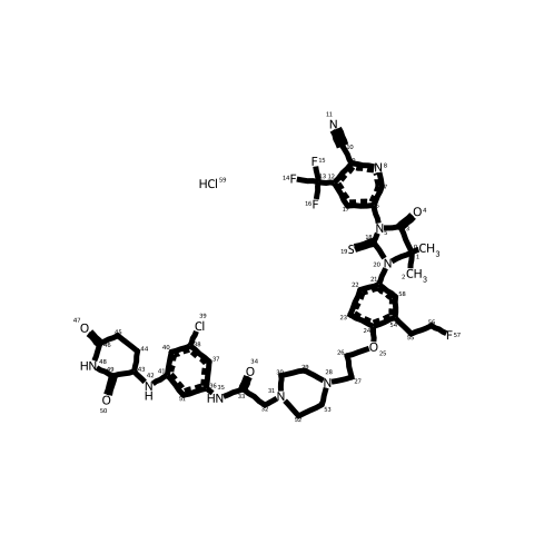 CC1(C)C(=O)N(c2cnc(C#N)c(C(F)(F)F)c2)C(=S)N1c1ccc(OCCN2CCN(CC(=O)Nc3cc(Cl)cc(NC4CCC(=O)NC4=O)c3)CC2)c(CCF)c1.Cl